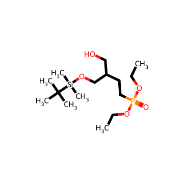 CCOP(=O)(CCC(CO)CO[Si](C)(C)C(C)(C)C)OCC